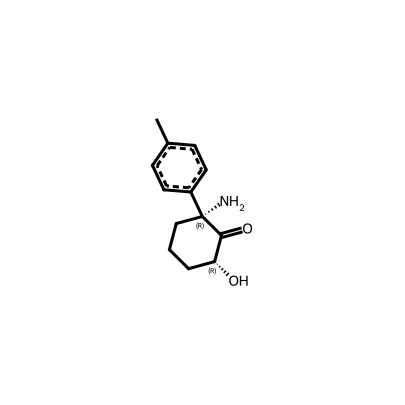 Cc1ccc([C@]2(N)CCC[C@@H](O)C2=O)cc1